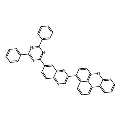 c1ccc(-c2nc(-c3ccccc3)nc(-c3ccc4ncc(-c5ccc6c7c(cccc57)-c5ccccc5O6)nc4c3)n2)cc1